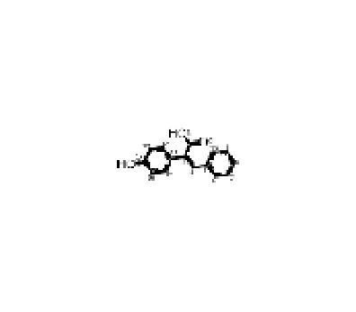 O=C(O)C(=Cc1ccccc1)c1ccc(O)cc1